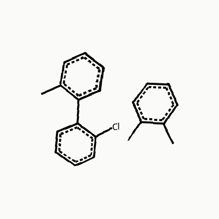 Cc1ccccc1-c1ccccc1Cl.Cc1ccccc1C